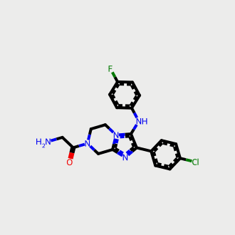 NCC(=O)N1CCn2c(nc(-c3ccc(Cl)cc3)c2Nc2ccc(F)cc2)C1